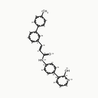 Cc1ccc(-c2cccc(/C=C/C(=O)Nc3ccc(-c4cccnc4O)cc3)c2)cc1